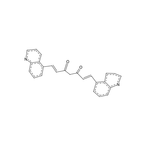 O=C(C=Cc1cccc2ncccc12)CC(=O)C=Cc1cccc2ncccc12